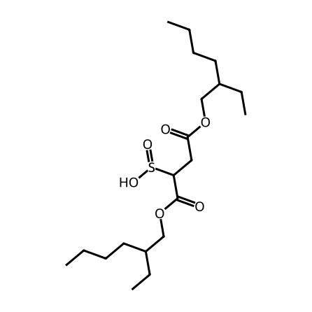 CCCCC(CC)COC(=O)CC(C(=O)OCC(CC)CCCC)S(=O)O